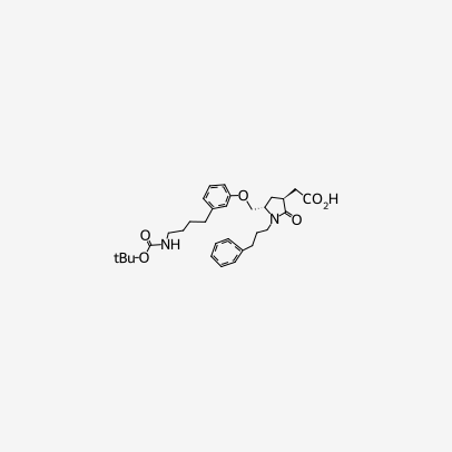 CC(C)(C)OC(=O)NCCCCc1cccc(OC[C@@H]2C[C@@H](CC(=O)O)C(=O)N2CCCc2ccccc2)c1